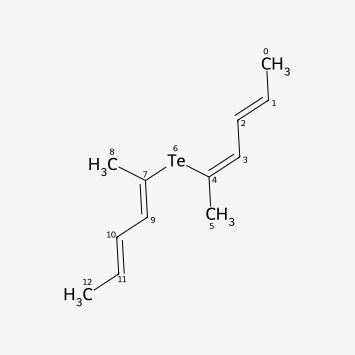 CC=CC=C(C)[Te]C(C)=CC=CC